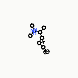 CC1(C)c2ccc(-c3cc(-c4ccccc4)cc(-c4nc(-c5ccccc5)nc(-c5ccccc5)n4)c3)cc2-c2cccc(-c3ccc(C45CC6CC(CC(C6)C4)C5)cc3)c21